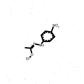 CCO/C(C)=N\Nc1ccc([N+](=O)[O-])cc1